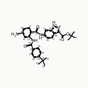 CC(C)(C)OC(=O)c1n[nH]c2cc(NC(=O)c3ccc(N)cc3NC(=O)c3ccc(C(C)(C)C)cc3)ccc12